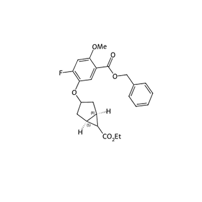 CCOC(=O)C1[C@H]2CC(Oc3cc(C(=O)OCc4ccccc4)c(OC)cc3F)C[C@@H]12